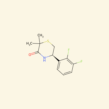 CC1(C)SC[C@@H](c2cccc(F)c2F)NC1=O